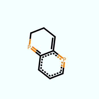 C1=c2pcccc2=PCC1